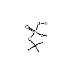 [2H]OP(=O)(O)OC(C)(C)C